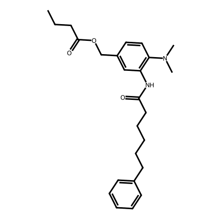 CCCC(=O)OCc1ccc(N(C)C)c(NC(=O)CCCCCc2ccccc2)c1